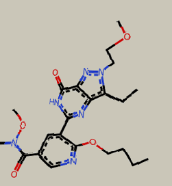 CCCCOc1ncc(C(=O)N(C)OC)cc1-c1nc2c(CC)n(CCOC)nc2c(=O)[nH]1